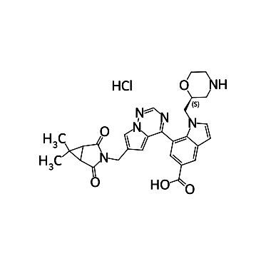 CC1(C)C2C(=O)N(Cc3cc4c(-c5cc(C(=O)O)cc6ccn(C[C@@H]7CNCCO7)c56)ncnn4c3)C(=O)C21.Cl